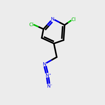 [N-]=[N+]=NCc1cc(Cl)nc(Cl)c1